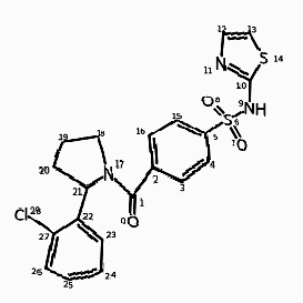 O=C(c1ccc(S(=O)(=O)Nc2nccs2)cc1)N1CCCC1c1ccccc1Cl